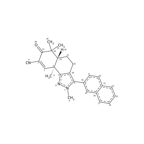 [C-]#[N+]C1=C[C@]2(C)c3nn(C)c(-c4ccc5ccccc5c4)c3CC[C@H]2C(C)(C)C1=O